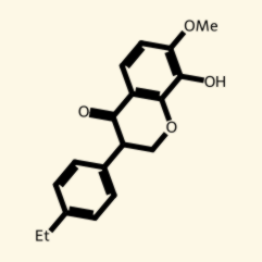 CCc1ccc(C2COc3c(ccc(OC)c3O)C2=O)cc1